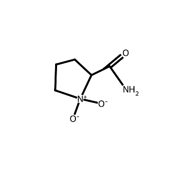 NC(=O)C1CCC[N+]1([O-])[O-]